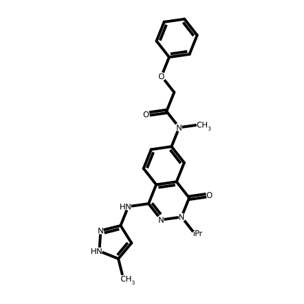 Cc1cc(Nc2nn(C(C)C)c(=O)c3cc(N(C)C(=O)COc4ccccc4)ccc23)n[nH]1